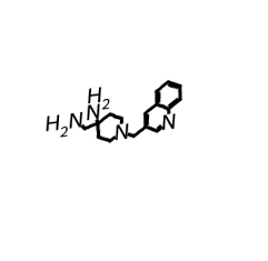 NCC1(N)CCN(Cc2cnc3ccccc3c2)CC1